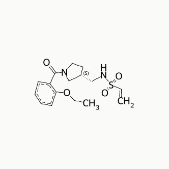 C=CS(=O)(=O)NC[C@H]1CCN(C(=O)c2ccccc2OCC)C1